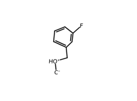 [CH2-][OH+]Cc1cccc(F)c1